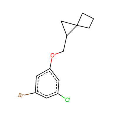 Clc1cc(Br)cc(OCC2CC23CCC3)c1